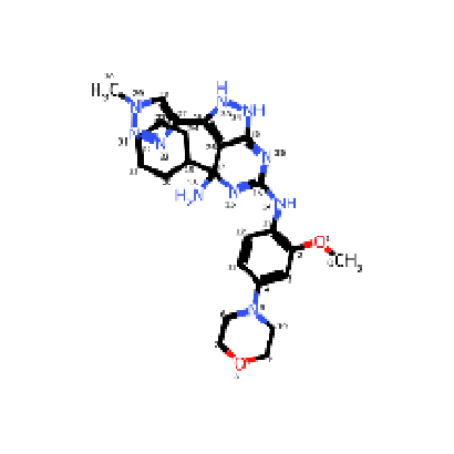 COc1cc(N2CCOCC2)ccc1NC1=NC(N)(C2CCCCC2)C2=C(c3cn(C)nn3)NNC2=N1